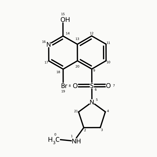 CNC1CCN(S(=O)(=O)c2cccc3c(O)ncc(Br)c23)C1